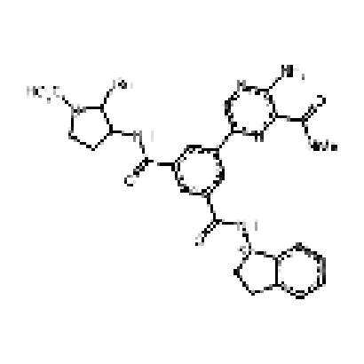 CNC(=O)c1nc(-c2cc(C(=O)NC3CCN(C(=O)O)C3C(C)(C)C)cc(C(=O)N[C@@H]3CCc4ccccc43)c2)cnc1N